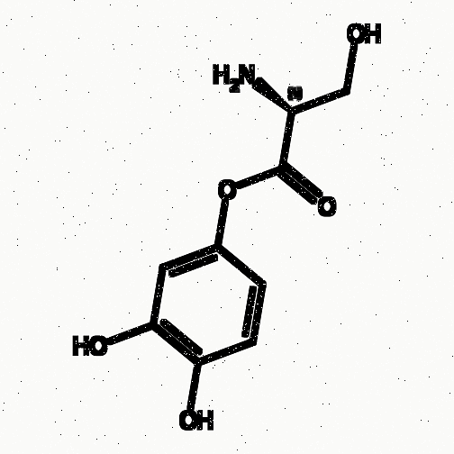 N[C@@H](CO)C(=O)Oc1ccc(O)c(O)c1